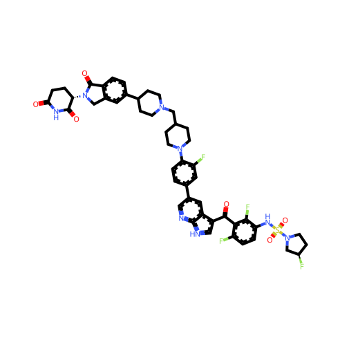 O=C1CC[C@H](N2Cc3cc(C4CCN(CC5CCN(c6ccc(-c7cnc8[nH]cc(C(=O)c9c(F)ccc(NS(=O)(=O)N%10CC[C@@H](F)C%10)c9F)c8c7)cc6F)CC5)CC4)ccc3C2=O)C(=O)N1